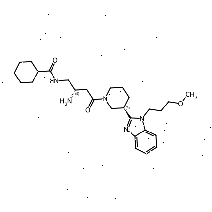 COCCCn1c([C@@H]2CCCN(C(=O)C[C@H](N)CNC(=O)C3CCCCC3)C2)nc2ccccc21